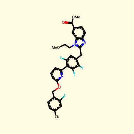 COCCn1c(Cc2cc(F)c(-c3cccc(OCc4ccc(C#N)cc4F)n3)c(F)c2F)nc2ccc(C(=O)OC)cc21